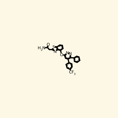 NC(=O)Cc1nc2c(Oc3cc(-c4ccc(C(F)(F)F)cc4)c(-c4ccccc4)nn3)cccc2s1